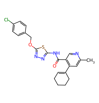 Cc1cc(C2=CCCCC2)c(C(=O)Nc2nnc(OCc3ccc(Cl)cc3)s2)cn1